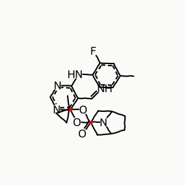 Cc1ccc(Nc2ncnc(OC3CC4CCC(C3)N4C(=O)OC3(C)CC3)c2C=N)c(F)c1